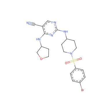 N#Cc1cnc(NC2CCN(S(=O)(=O)c3ccc(Br)cc3)CC2)nc1NC1CCOC1